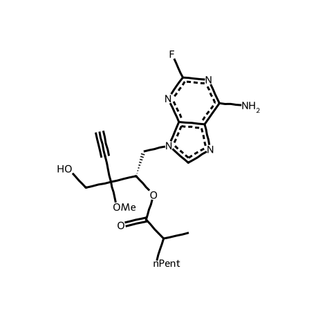 C#CC(CO)(OC)[C@H](Cn1cnc2c(N)nc(F)nc21)OC(=O)C(C)CCCCC